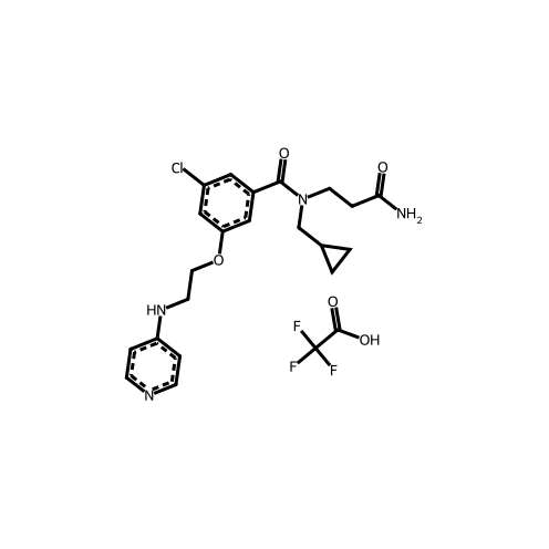 NC(=O)CCN(CC1CC1)C(=O)c1cc(Cl)cc(OCCNc2ccncc2)c1.O=C(O)C(F)(F)F